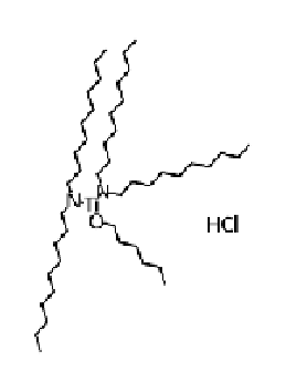 CCCCCCCCCC[N](CCCCCCCCCC)[Ti]([O]CCCCCC)[N](CCCCCCCCCC)CCCCCCCCCC.Cl